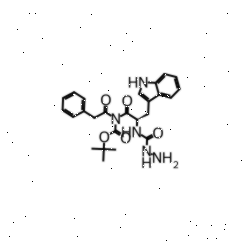 CC(C)(C)OC(=O)N(C(=O)Cc1ccccc1)C(=O)[C@@H](Cc1c[nH]c2ccccc12)NC(=O)NN